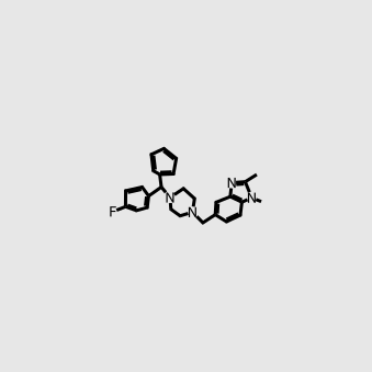 Cc1nc2cc(CN3CCN(C(c4ccccc4)c4ccc(F)cc4)CC3)ccc2n1C